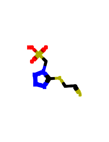 O=S(=O)(O)Cn1nnnc1SC[C]=S